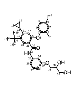 Cc1cc(F)ccc1Oc1cc(C2CC2)c(C(F)(F)F)cc1C(=O)Nc1ccnc(OCC(O)CO)c1